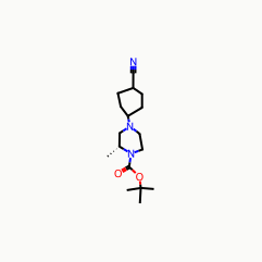 C[C@@H]1CN(C2CCC(C#N)CC2)CCN1C(=O)OC(C)(C)C